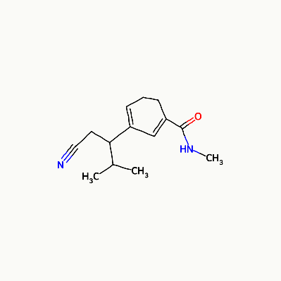 CNC(=O)C1=CC(C(CC#N)C(C)C)=CCC1